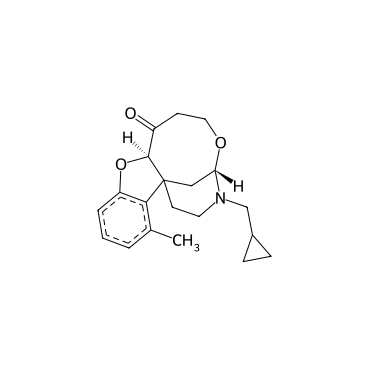 Cc1cccc2c1C13CCN(CC4CC4)[C@H](C1)OCCC(=O)[C@@H]3O2